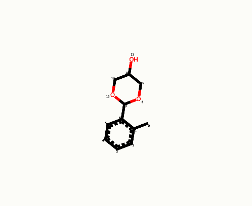 Cc1ccccc1C1OCC(O)CO1